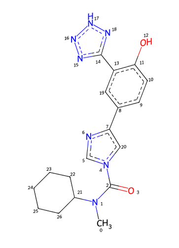 CN(C(=O)n1cnc(-c2ccc(O)c(-c3nn[nH]n3)c2)c1)C1CCCCC1